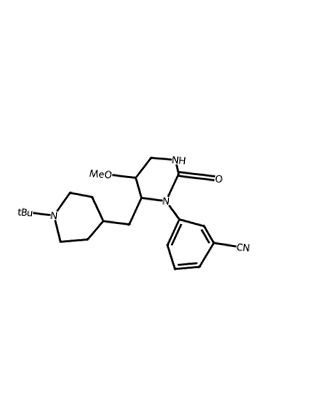 COC1CNC(=O)N(c2cccc(C#N)c2)C1CC1CCN(C(C)(C)C)CC1